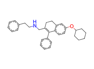 c1ccc(CCNCC2=C(c3ccccc3)c3ccc(OC4CCCCC4)cc3CC2)cc1